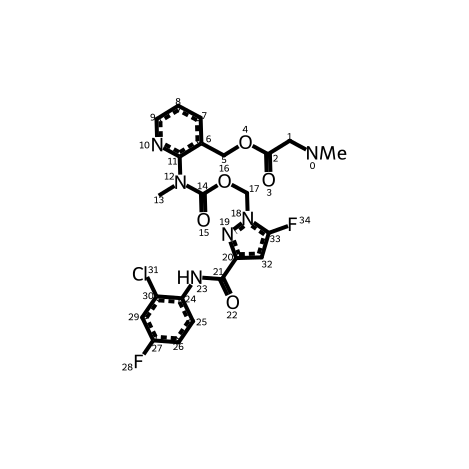 CNCC(=O)OCc1cccnc1N(C)C(=O)OCn1nc(C(=O)Nc2ccc(F)cc2Cl)cc1F